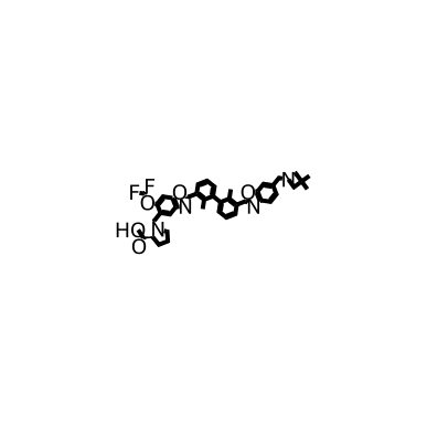 Cc1c(-c2nc3ccc(CN4CC(C)(C)C4)cc3o2)cccc1-c1cccc(-c2nc3cc(CN4CCC[C@H]4C(=O)O)c(OC(F)F)cc3o2)c1C